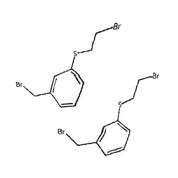 BrCCSc1cccc(CBr)c1.BrCCSc1cccc(CBr)c1